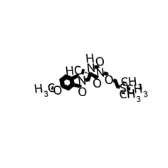 C#C[C@]1(CN2Cc3ccc(OC)cc3C2=O)NC(=O)N(COCC[Si](C)(C)C)C1=O